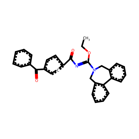 CCO/C(=N\C(=O)c1ccc(C(=O)c2ccccc2)cc1)N1Cc2ccccc2-c2ccccc2C1